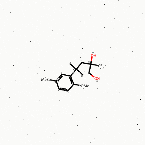 COc1ccc(SC)cc1C(C)(C)CC(O)(CO)C(F)(F)F